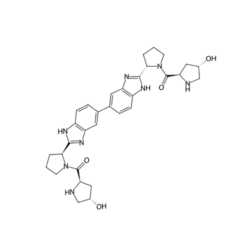 O=C([C@H]1C[C@H](O)CN1)N1CCC[C@H]1c1nc2cc(-c3ccc4[nH]c([C@@H]5CCCN5C(=O)[C@H]5C[C@H](O)CN5)nc4c3)ccc2[nH]1